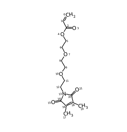 C=CC(=O)OCCOCCOCCN1C(=O)C(C)=C(C)C1=O